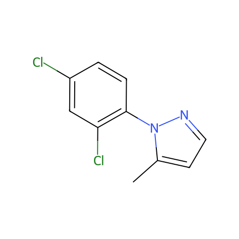 Cc1ccnn1-c1ccc(Cl)cc1Cl